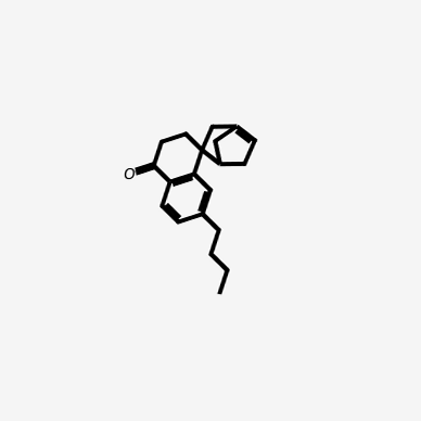 CCCCc1ccc2c(c1)C1(CCC2=O)CC2=CCC1C2